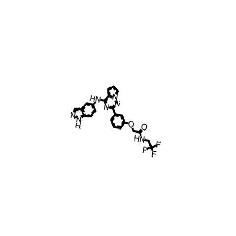 O=C(COc1cccc(-c2nc(Nc3ccc4[nH]ncc4c3)c3cccn3n2)c1)NCC(F)(F)F